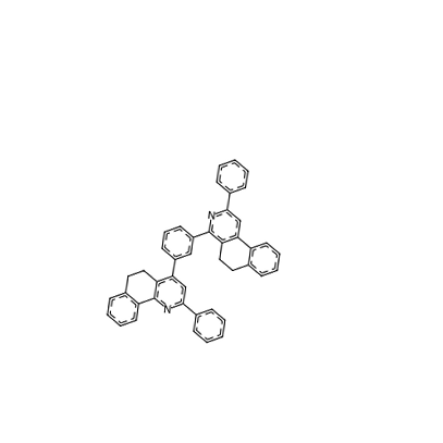 c1ccc(-c2cc3c(c(-c4cccc(-c5cc(-c6ccccc6)nc6c5CCc5ccccc5-6)c4)n2)CCc2ccccc2-3)cc1